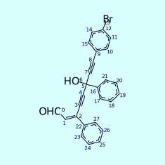 O=C/C=C(\C#CC(O)(C#Cc1ccc(Br)cc1)c1ccccc1)c1ccccc1